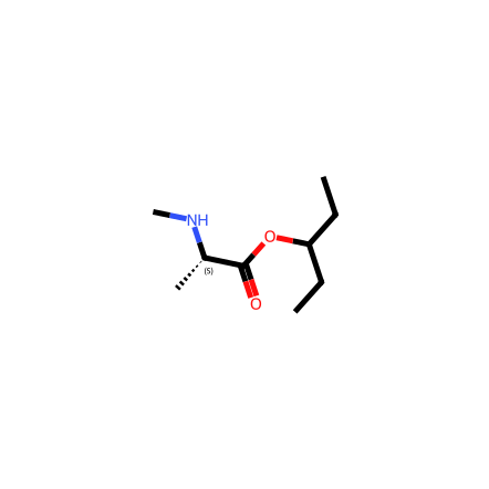 CCC(CC)OC(=O)[C@H](C)NC